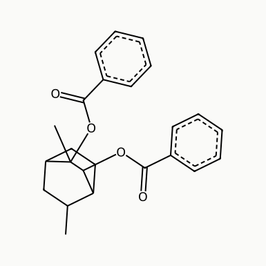 CC1CC2CCC1C(OC(=O)c1ccccc1)C2(C)OC(=O)c1ccccc1